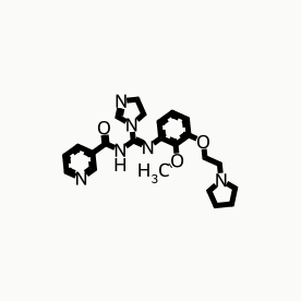 COc1c(/N=C(/NC(=O)c2cccnc2)N2C=NCC2)cccc1OCCN1CCCC1